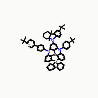 CC(C)(C)c1ccc(-c2ccc(N3c4cc(N5c6ccc(C(C)(C)C)cc6C6(C)CCCCC56C)cc5c4B4c6c3cccc6[Si](c3ccccc3)(c3ccccc3)c3cccc(c34)N5c3ccc(C(C)(C)C)cc3)cc2)cc1